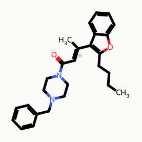 CCCCc1oc2ccccc2c1/C(C)=C/C(=O)N1CCN(Cc2ccccc2)CC1